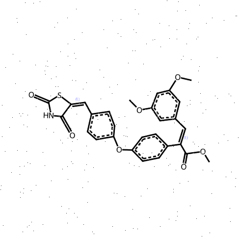 COC(=O)/C(=C/c1cc(OC)cc(OC)c1)c1ccc(Oc2ccc(/C=C3/SC(=O)NC3=O)cc2)cc1